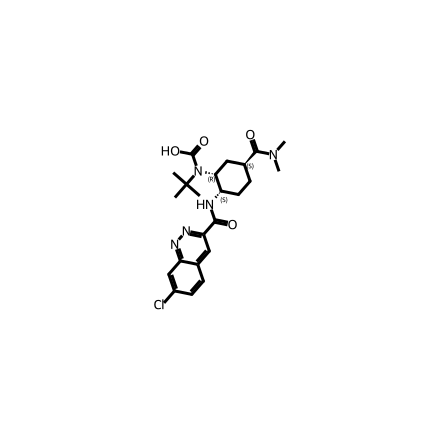 CN(C)C(=O)[C@H]1CC[C@H](NC(=O)c2cc3ccc(Cl)cc3nn2)[C@H](N(C(=O)O)C(C)(C)C)C1